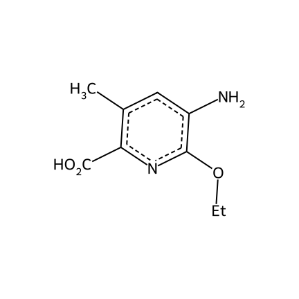 CCOc1nc(C(=O)O)c(C)cc1N